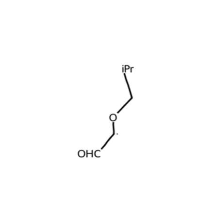 CC(C)CO[CH]C=O